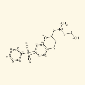 CN(CCO)CC1CCc2ccc(S(=O)(=O)c3ccccc3)cc2O1